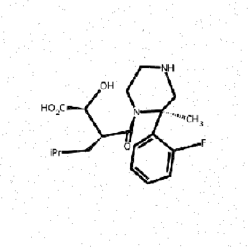 CC(C)C[C@H](C(=O)N1CCNC[C@@]1(C)c1ccccc1F)[C@H](O)C(=O)O